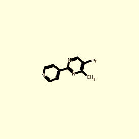 Cc1nc(-c2ccncc2)ncc1C(C)C